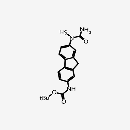 CC(C)(C)OC(=O)Nc1ccc2c(c1)Cc1cc(N(S)C(N)=O)ccc1-2